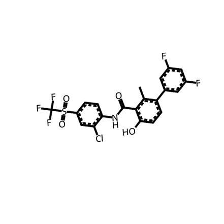 Cc1c(-c2cc(F)cc(F)c2)ccc(O)c1C(=O)Nc1ccc(S(=O)(=O)C(F)(F)F)cc1Cl